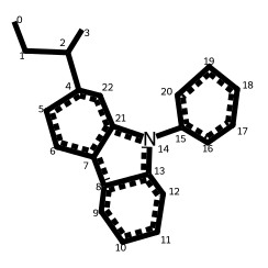 CCC(C)c1ccc2c3ccccc3n(-c3ccccc3)c2c1